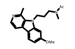 COc1ccc2c3ccnc(C)c3n(CCCN(C)C(C)=O)c2c1